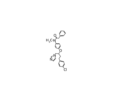 CN(C(=O)Cc1ccccc1)c1ccc(OC(CCc2ccc(Cl)cc2)Cn2ccnc2)cc1